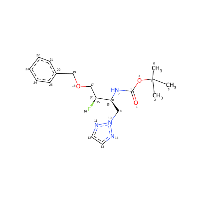 CC(C)(C)OC(=O)N[C@@H](Cn1nccn1)[C@@H](F)COCc1ccccc1